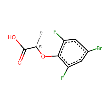 C[C@H](Oc1c(F)cc(Br)cc1F)C(=O)O